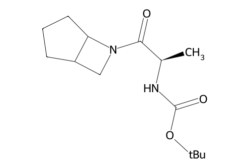 C[C@@H](NC(=O)OC(C)(C)C)C(=O)N1CC2CCCC21